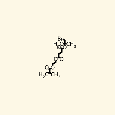 C=C(C)C(=O)OCCOC(=O)CCC(=O)OC(C)(C)CBr